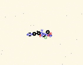 COc1cc(-c2ccc(N3CCN(C)CC3)cc2)c(C)cc1Nc1ncc(Cl)c(Nc2ccccc2S(=O)(=O)N(C)C)n1